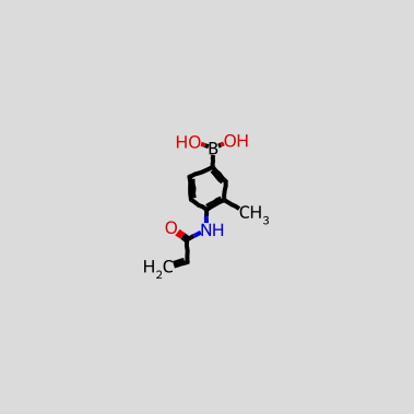 C=CC(=O)Nc1ccc(B(O)O)cc1C